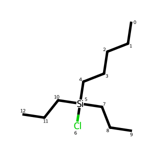 CCCCC[Si](Cl)(CCC)CCC